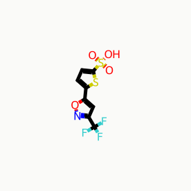 O=S(=O)(O)c1ccc(-c2cc(C(F)(F)F)no2)s1